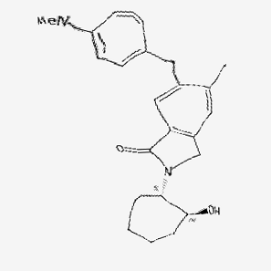 CNc1ccc(Cc2cc3c(cc2C)CN([C@H]2CCCC[C@@H]2O)C3=O)cc1